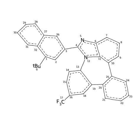 CC(C)(C)c1cc(-c2nc3cccc4c3n2-c2ccc(C(F)(F)F)cc2-c2ccccc2-4)cc2ccccc12